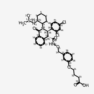 C[S+]([O-])N[C@H]1CCCCC1N1C(=O)c2ccccc2[C@@H](C(=O)NOCc2cccc(OCCCC(=O)O)c2)[C@@H]1c1ccc(Cl)cc1Cl